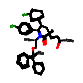 CC[C@@H](CO[Si](c1ccccc1)(c1ccccc1)C(C)(C)C)N1C(=O)[C@@](C)(/C=C/C(=O)OC)C[C@H](c2cccc(Cl)c2)[C@H]1c1ccc(Cl)cc1